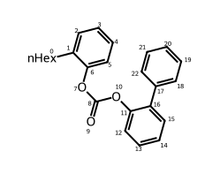 CCCCCCc1ccccc1OC(=O)Oc1ccccc1-c1ccccc1